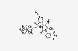 [C-]#[N+]C1=C(C)N(c2cccc(C(F)(F)F)c2)C(=O)NC1c1ccc(C#N)cc1S(=O)(=O)CCO[Si](C)(C)C(C)(C)C